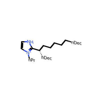 CCCCCCCCCCCCCCC[C@H](CCCCCCCCCC)c1[nH]cc[n+]1CCC